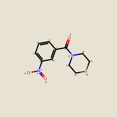 O=C(c1cccc([N+](=O)[O-])c1)N1CCSCC1